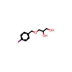 OCC(O)COCc1ccc(I)cc1